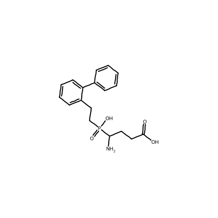 NC(CCC(=O)O)P(=O)(O)CCc1ccccc1-c1ccccc1